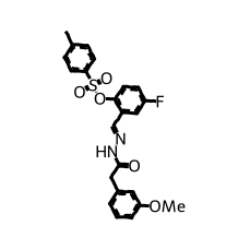 COc1cccc(CC(=O)N/N=C/c2cc(F)ccc2OS(=O)(=O)c2ccc(C)cc2)c1